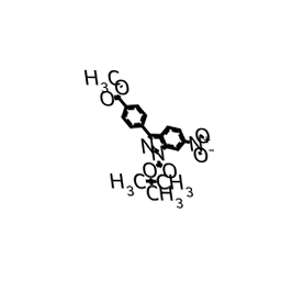 COC(=O)c1ccc(-c2nn(C(=O)OC(C)(C)C)c3cc([N+](=O)[O-])ccc23)cc1